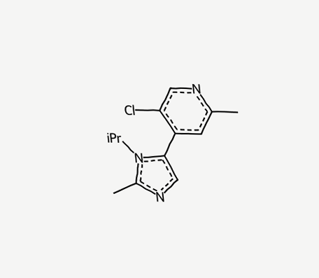 Cc1cc(-c2cnc(C)n2C(C)C)c(Cl)cn1